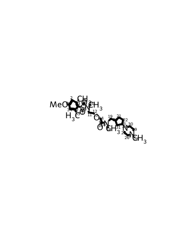 COc1cc(C)c(S(=O)(=O)N(C)CCOCC(=O)N(C)CC2CCC(N3CCN(C)CC3)C2)c(C)c1